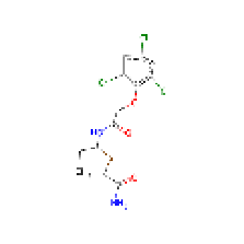 CCC(NC(=O)COc1c(Cl)cc(Cl)cc1Cl)SCC(N)=O